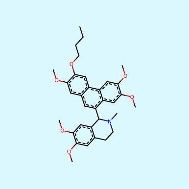 CCCCOc1cc2c(cc1OC)cc(C1c3cc(OC)c(OC)cc3CCN1C)c1cc(OC)c(OC)cc12